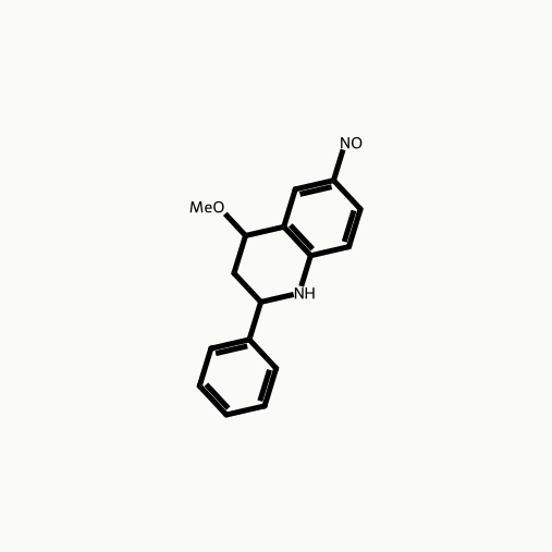 COC1CC(c2ccccc2)Nc2ccc(N=O)cc21